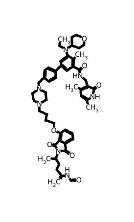 C=C(CCC(C)N1C(=O)c2cccc(OCCCCN3CCN(Cc4ccc(-c5cc(C(=O)NCc6c(C)cc(C)[nH]c6=O)c(C)c(N(CC)C6CCOCC6)c5)cc4)CC3)c2C1=O)NC=O